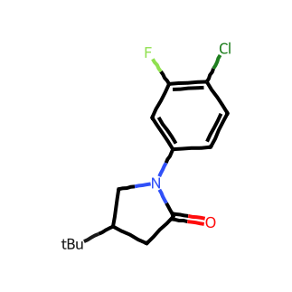 CC(C)(C)C1CC(=O)N(c2ccc(Cl)c(F)c2)C1